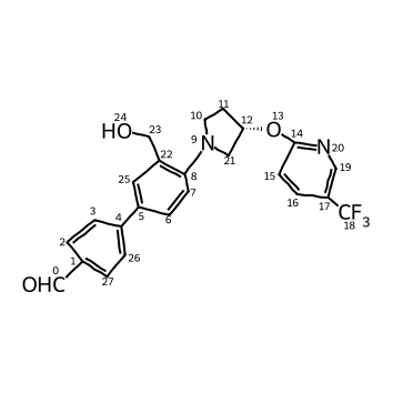 O=Cc1ccc(-c2ccc(N3CC[C@H](Oc4ccc(C(F)(F)F)cn4)C3)c(CO)c2)cc1